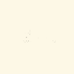 CNCC(C)S(=O)(=O)NCCOCCOCCN